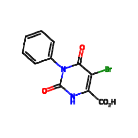 O=C(O)c1[nH]c(=O)n(-c2ccccc2)c(=O)c1Br